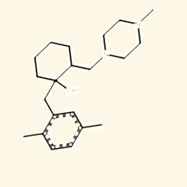 Cc1ccc(C)c(CC2(O)CCCCC2CN2CCN(C)CC2)c1